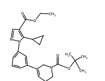 CCOC(=O)c1cnn(-c2cccc(C3=CCCN(C(=O)OC(C)(C)C)C3)c2)c1C1CC1